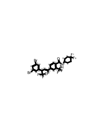 O=C(NC1CCC(F)(F)CC1)c1ccc(C(F)=CC(c2cc(Br)cc(Br)c2)C(F)(F)F)cc1C(F)(F)F